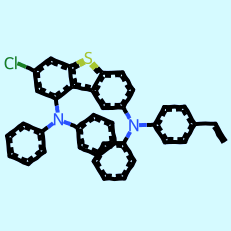 C=Cc1ccc(N(c2ccccc2)c2ccc3sc4cc(Cl)cc(N(c5ccccc5)c5ccccc5)c4c3c2)cc1